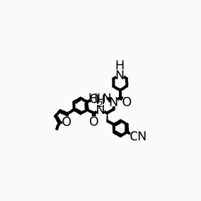 Cc1ccc(-c2ccc(Cl)c(C(=O)N[C@H](Cc3ccc(C#N)cc3)CN(N)C(=O)C3CCNCC3)c2)o1